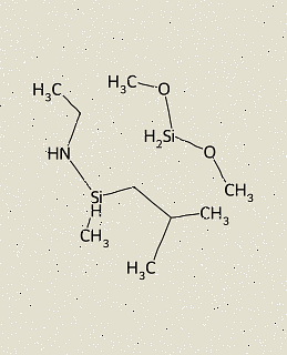 CCN[SiH](C)CC(C)C.CO[SiH2]OC